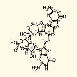 Nc1nc2c(nc(SCCSc3nc4c(=O)[nH]c(N)nc4n3[C@@H]3OC4COP(=O)(O)O[C@H]4C3O)n2[C@@H]2OC3COP(=O)(O)O[C@H]3C2O)c(=O)[nH]1